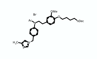 CCCCCCCCCCCCCCOc1ccc(CCN(C(C)=O)c2ccc(C[n+]3csc(C)c3)cc2)cc1OC.[Br-]